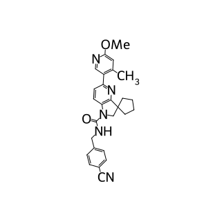 COc1cc(C)c(-c2ccc3c(n2)C2(CCCC2)CN3C(=O)NCc2ccc(C#N)cc2)cn1